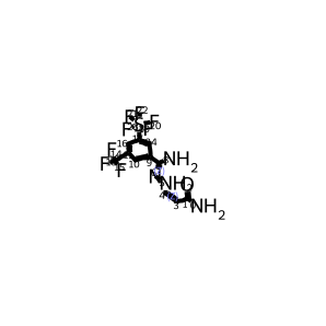 NC(=O)/C=C\N/N=C(\N)c1cc(C(F)(F)F)cc(S(F)(F)(F)(F)F)c1